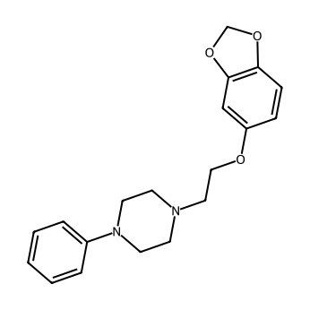 c1ccc(N2CCN(CCOc3ccc4c(c3)OCO4)CC2)cc1